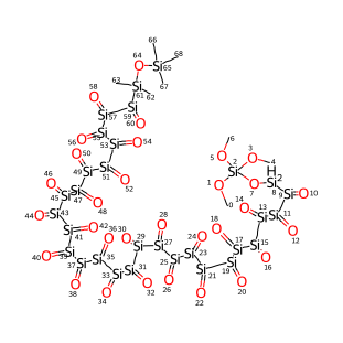 CO[Si](OC)(OC)O[SiH2][Si](=O)[Si](=O)[Si](=O)[Si](=O)[Si](=O)[Si](=O)[Si](=O)[Si](=O)[Si](=O)[Si](=O)[Si](=O)[Si](=O)[Si](=O)[Si](=O)[Si](=O)[Si](=O)[Si](=O)[Si](=O)[Si](=O)[Si](=O)[Si](=O)[Si](=O)[Si](=O)[Si](=O)[Si](=O)[Si](=O)[Si](C)(C)O[Si](C)(C)C